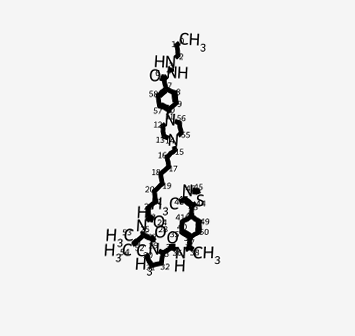 CCCNNC(=O)c1ccc(N2CCN(CCCCCCCCC(=O)NC(C(=O)N3CCCC3C(=O)NC(C)C3=CCC(c4scnc4C)C=C3)C(C)(C)C)CC2)cc1